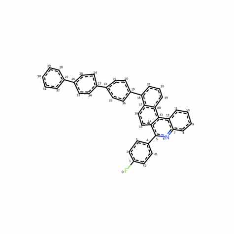 Fc1ccc(-c2nc3ccccc3c3c2ccc2c(-c4ccc(-c5ccc(-c6ccccc6)cc5)cc4)cccc23)cc1